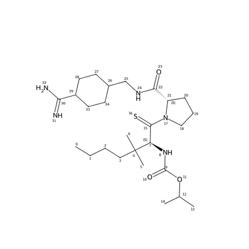 CCCCC(C)(C)[C@H](NC(=O)OC(C)C)C(=S)N1CCC[C@H]1C(=O)NCC1CCC(C(=N)N)CC1